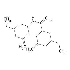 C=C1CC(CC)CC(NC(=C)C2CC(=C)CC(CC)C2)C1